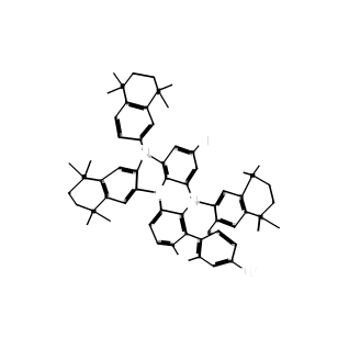 Cc1cc2c(cc1N1c3cc(C(C)(C)C)cc4c3B(c3cc5c(cc3N4c3ccc4c(c3)C(C)(C)CCC4(C)C)C(C)(C)CCC5(C)C)c3ccc4sc5cc(C(C)(C)C)ccc5c4c31)C(C)(C)CCC2(C)C